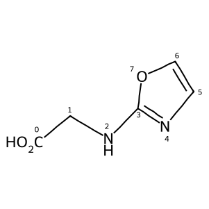 O=C(O)CNc1ncco1